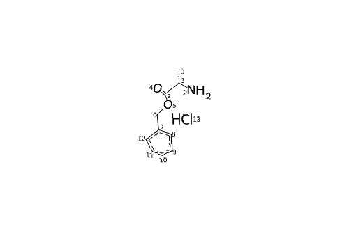 C[C@H](N)C(=O)OCc1ccccc1.Cl